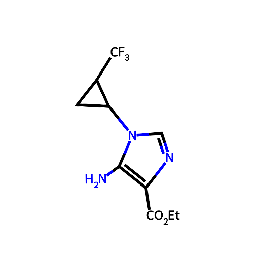 CCOC(=O)c1ncn(C2CC2C(F)(F)F)c1N